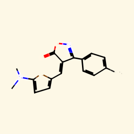 CN(C)c1ccc(C=C2C(=O)ON=C2c2ccc(C#N)cc2)s1